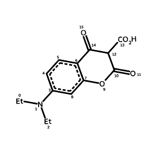 CCN(CC)c1ccc2c(c1)OC(=O)C(C(=O)O)C2=O